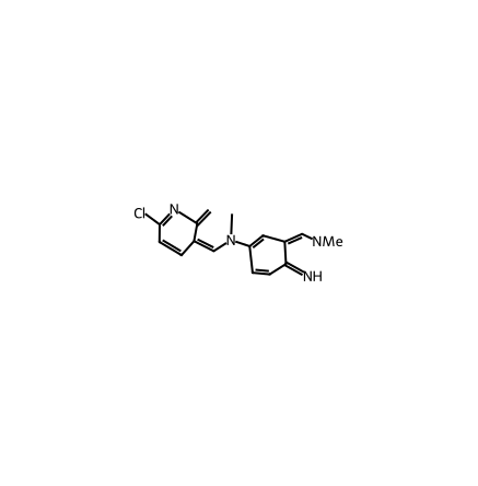 C=c1nc(Cl)cc/c1=C/N(C)C1=C/C(=C/NC)C(=N)C=C1